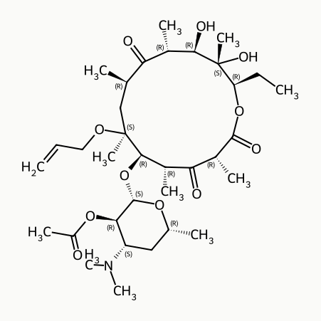 C=CCO[C@@]1(C)C[C@@H](C)C(=O)[C@H](C)[C@@H](O)[C@](C)(O)[C@@H](CC)OC(=O)[C@H](C)C(=O)[C@H](C)[C@H]1O[C@@H]1O[C@H](C)C[C@H](N(C)C)[C@H]1OC(C)=O